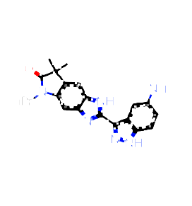 CC(C)N1C(=O)C(C)(C)c2cc3[nH]c(-c4n[nH]c5ccc(N)cc45)nc3cc21